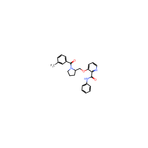 O=C(Nc1ccccc1)c1ncccc1OCC1CCCN1C(=O)c1cccc(C(F)(F)F)c1